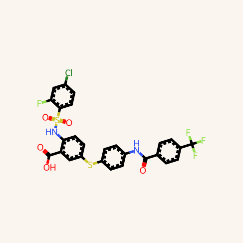 O=C(Nc1ccc(Sc2ccc(NS(=O)(=O)c3ccc(Cl)cc3F)c(C(=O)O)c2)cc1)c1ccc(C(F)(F)F)cc1